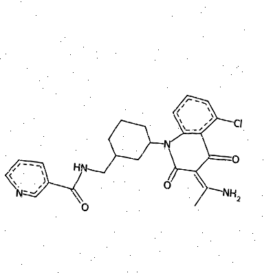 CC(N)=C1C(=O)c2c(Cl)cccc2N(C2CCCC(CNC(=O)c3cccnc3)C2)C1=O